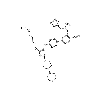 COCCCCOc1nn(C2CCC(N3CCOCC3)CC2)cc1Nc1ncc(-c2ccc(C#N)c(OC(C)Cn3cnnn3)c2)cn1